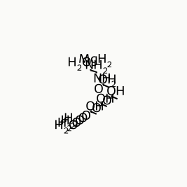 CC(=O)O.CC(=O)O.CC(=O)O.CC(=O)O.NCCN.O.O.O.O.O.[MgH2]